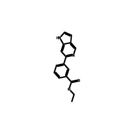 CCOC(=O)c1cccc(-c2cc3[nH]ccc3cn2)c1